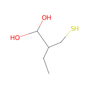 CCC(CS)C(O)O